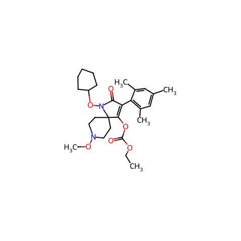 CCOC(=O)OC1=C(c2c(C)cc(C)cc2C)C(=O)N(OC2CCCCC2)C12CCN(OC)CC2